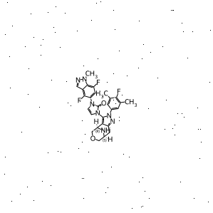 Cc1cc(-n2nc3c(c2-n2ccn(-c4cc(F)c5c(cnn5C)c4F)c2=O)[C@@H]2COC[C@H](C3)N2)cc(C)c1F